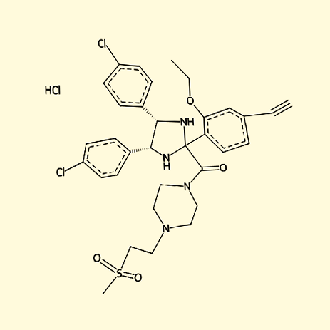 C#Cc1ccc(C2(C(=O)N3CCN(CCS(C)(=O)=O)CC3)N[C@H](c3ccc(Cl)cc3)[C@H](c3ccc(Cl)cc3)N2)c(OCC)c1.Cl